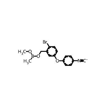 [C-]#[N+]c1ccc(Oc2ccc(Br)c(COB(C)OC)c2)cc1